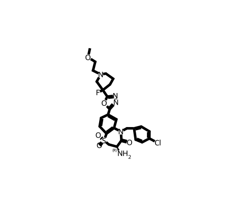 COCCN1CCCC(F)(c2nnc(-c3ccc4c(c3)N(Cc3ccc(Cl)cc3)C(=O)[C@@H](N)CS4(=O)=O)o2)C1